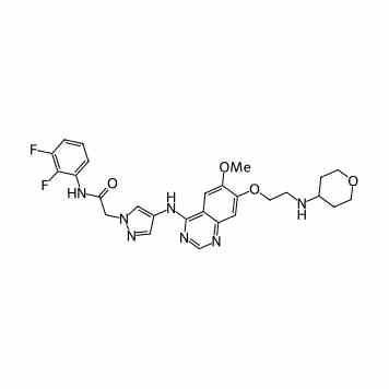 COc1cc2c(Nc3cnn(CC(=O)Nc4cccc(F)c4F)c3)ncnc2cc1OCCNC1CCOCC1